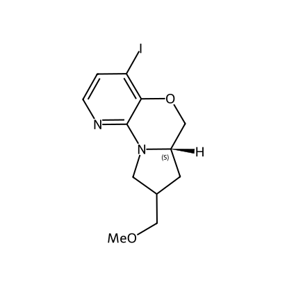 COCC1C[C@H]2COc3c(I)ccnc3N2C1